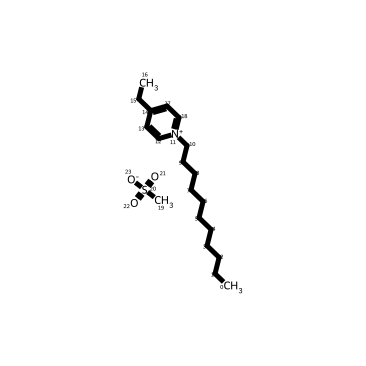 CCCCCCCCCCC[n+]1ccc(CC)cc1.CS(=O)(=O)[O-]